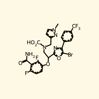 Cn1ccc(CN(CC(Oc2ccc(F)c(C(N)=O)c2F)c2nc(-c3ccc(C(F)(F)F)cc3)c(Br)o2)C(=O)O)n1